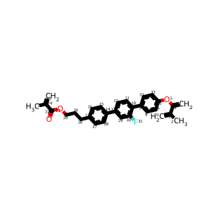 C=C(C)C(=C)Oc1ccc(-c2ccc(-c3ccc(CCCOC(=O)C(=C)C)cc3)cc2F)cc1